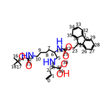 C=CC[C@H](NCC(CCCCNC(=O)OC(C)(C)C)NC(=O)OCC1c2ccccc2-c2ccccc21)C(=O)O